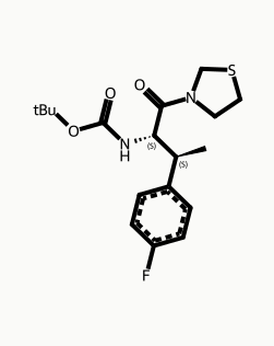 C[C@@H](c1ccc(F)cc1)[C@H](NC(=O)OC(C)(C)C)C(=O)N1CCSC1